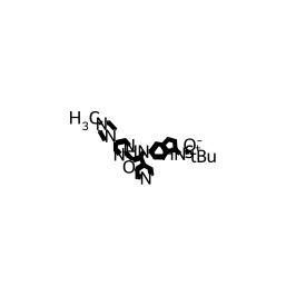 CN1CCN(c2cnc(-c3oc4cnccc4c3Nc3ccc4c(c3)CCC4N[S+]([O-])C(C)(C)C)nc2)CC1